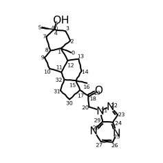 CC12CC[C@@](C)(O)CC1CCC1C2CCC2(C)C(C(=O)Cn3ncc4nccnc43)CCC12